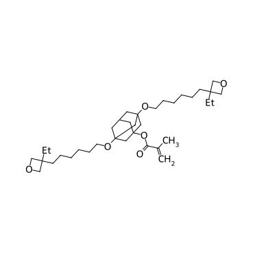 C=C(C)C(=O)OC12CC3CC(OCCCCCCC4(CC)COC4)(CC(OCCCCCCC4(CC)COC4)(C3)C1)C2